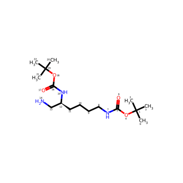 CC(C)(C)OC(=O)NCCCC[C@@H](CN)NC(=O)OC(C)(C)C